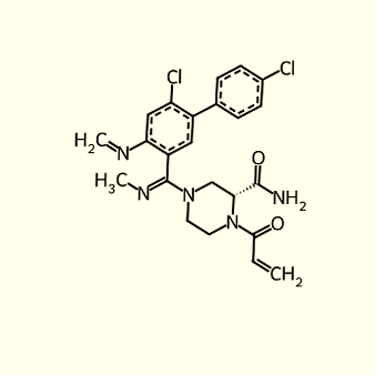 C=CC(=O)N1CCN(/C(=N/C)c2cc(-c3ccc(Cl)cc3)c(Cl)cc2N=C)C[C@@H]1C(N)=O